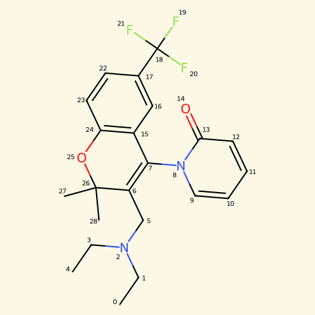 CCN(CC)CC1=C(n2ccccc2=O)c2cc(C(F)(F)F)ccc2OC1(C)C